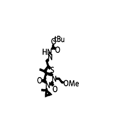 COCCn1c(=O)n(C2(C)CC2)c(=O)c2c(C)c(/C=N/NC(=O)OC(C)(C)C)sc21